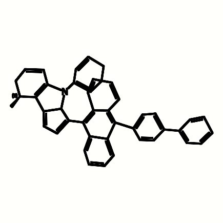 C[C@H]1CC=CC2=C1C1=CC=C(c3c4ccccc4c(-c4ccc(-c5ccccc5)cc4)c4ccccc34)C1N2C1=CCCC=C1